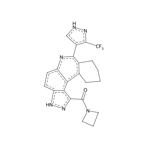 O=C(c1n[nH]c2ccc3nc(-c4c[nH]nc4C(F)(F)F)c4c(c3c12)CCCC4)N1CCC1